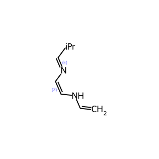 C=CN/C=C\N=C\C(C)C